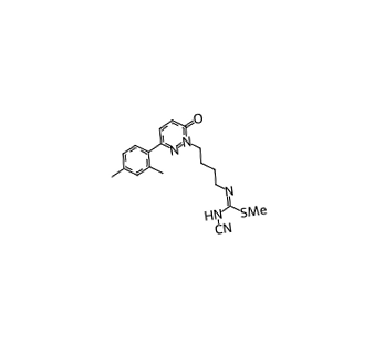 CSC(=NCCCCn1nc(-c2ccc(C)cc2C)ccc1=O)NC#N